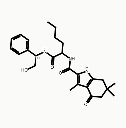 CCCCC(NC(=O)c1[nH]c2c(c1C)C(=O)CC(C)(C)C2)C(=O)N[C@@H](CO)c1ccccc1